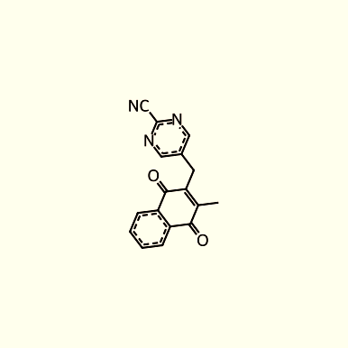 CC1=C(Cc2cnc(C#N)nc2)C(=O)c2ccccc2C1=O